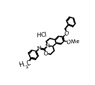 COc1cc2c(cc1OCc1ccccc1)CCN1C(=Nc3ccc(C)cc3)OCCC21.Cl